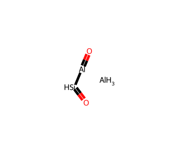 [AlH3].[O]=[Al][SiH]=O